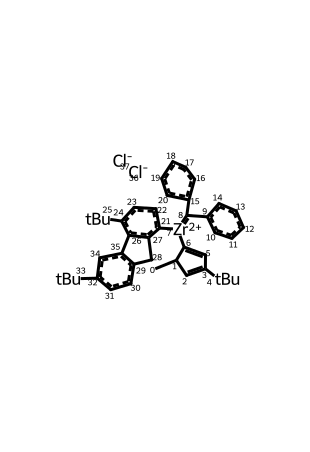 CC1C=C(C(C)(C)C)C=[C]1[Zr+2](=[C](c1ccccc1)c1ccccc1)[c]1ccc(C(C)(C)C)c2c1Cc1ccc(C(C)(C)C)cc1-2.[Cl-].[Cl-]